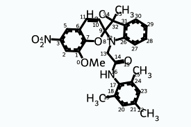 COc1cc([N+](=O)[O-])cc2c1OC1(C=C2)N(CC(=O)Nc2c(C)cc(C)cc2C)c2ccccc2C1(C)C